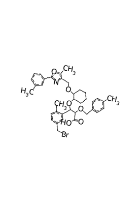 Cc1ccc(COC(C(=O)O)C(OC2CCCCC2OCc2nc(-c3cccc(C)c3)oc2C)c2cc(CBr)ccc2C)cc1